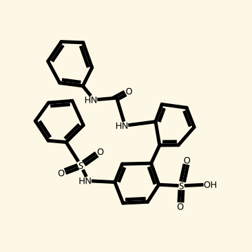 O=C(Nc1ccccc1)Nc1ccccc1-c1cc(NS(=O)(=O)c2ccccc2)ccc1S(=O)(=O)O